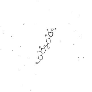 CCCC1CCC(C2CCC(OC(=O)C3CCC(c4ccc(OCC)c(F)c4F)CC3)C(F)=C2F)CC1